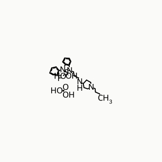 CCCCN1CCC(NCCCN2c3ccccc3N(c3ccccc3F)S2(O)O)CC1.O=C(O)O